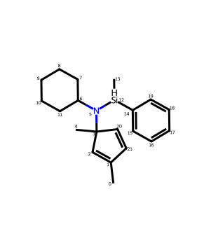 CC1=CC(C)(N(C2CCCCC2)[SiH](C)c2ccccc2)C=C1